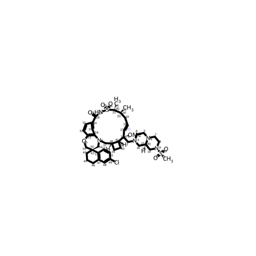 CO[C@@]1(CN2CCN3CCN(S(C)(=O)=O)C[C@H]3C2)/C=C/C[C@H](C)[C@@H](C)S(=O)(=O)NC(=O)c2ccc3c(c2)N(C[C@@H]2CC[C@H]21)C[C@@]1(CCCc2cc(Cl)ccc21)CO3